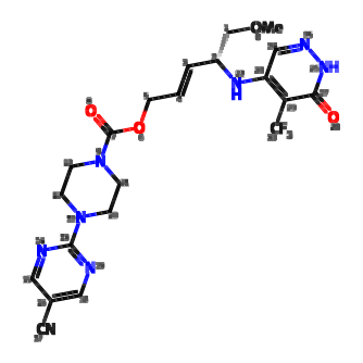 COC[C@@H](/C=C/COC(=O)N1CCN(c2ncc(C#N)cn2)CC1)Nc1cn[nH]c(=O)c1C(F)(F)F